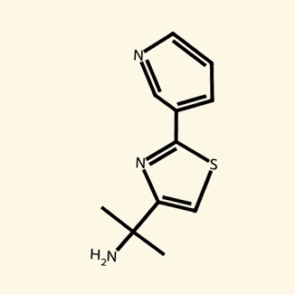 CC(C)(N)c1csc(-c2cccnc2)n1